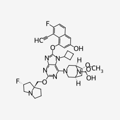 C#Cc1c(F)ccc2cc(O)cc(Oc3nc4nc(OC[C@@]56CCCN5C[C@H](F)C6)nc(N5C[C@@H]6C[C@@H](OC)[C@H](C5)N6C(=O)O)c4n3C3CCC3)c12